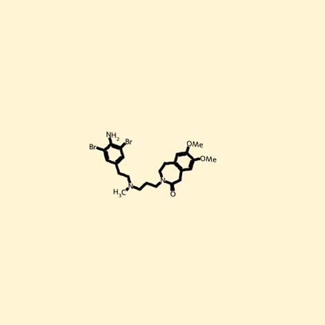 COc1cc2c(cc1OC)CC(=O)N(CCCN(C)CCc1cc(Br)c(N)c(Br)c1)CC2